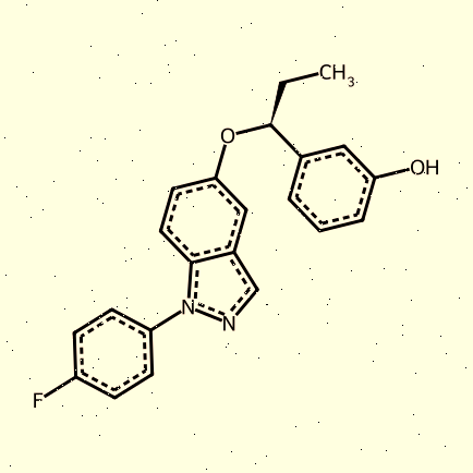 CC[C@H](Oc1ccc2c(cnn2-c2ccc(F)cc2)c1)c1cccc(O)c1